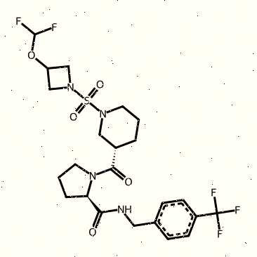 O=C(NCc1ccc(C(F)(F)F)cc1)[C@H]1CCCN1C(=O)[C@H]1CCCN(S(=O)(=O)N2CC(OC(F)F)C2)C1